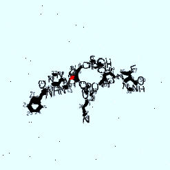 C[C@@H]1[C@@H]2OP(O)(=S)OC[C@H]3O[C@@H](n4cnc5c(NC(=O)c6ccccc6)ncnc54)[C@H](OP(=S)(OCCC#N)OC[C@H]2O[C@H]1n1cc(F)c2c(=O)[nH]cnc21)[C@@H]3C